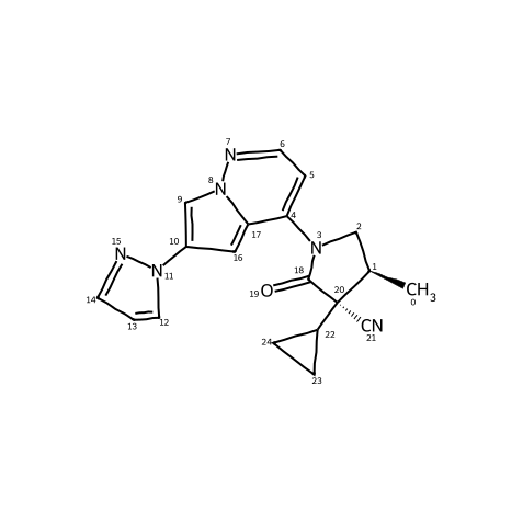 C[C@@H]1CN(c2ccnn3cc(-n4cccn4)cc23)C(=O)[C@]1(C#N)C1CC1